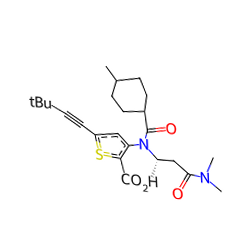 CC1CCC(C(=O)N(c2cc(C#CC(C)(C)C)sc2C(=O)O)[C@@H](C)CC(=O)N(C)C)CC1